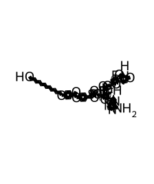 Nc1ncnc2c1ncn2[C@@H]1O[C@H](COP(=O)(O)SCc2ccc(OC(=O)c3ccc(OCCCCCCCCCCCCO)cc3)cc2)[C@@H](OP(=O)(O)OC[C@@H]2C[C@@H](F)[C@H](n3ccc(=O)[nH]c3=O)O2)[C@H]1F